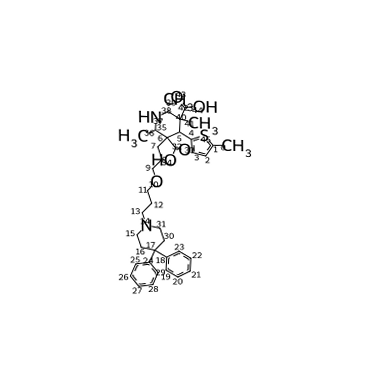 Cc1ccc(C2C(CCCOCCCN3CCC(c4ccccc4)(c4ccccc4)CC3)(C(=O)O)C(C)N[C@H](C)C2(C)C(=O)O)s1